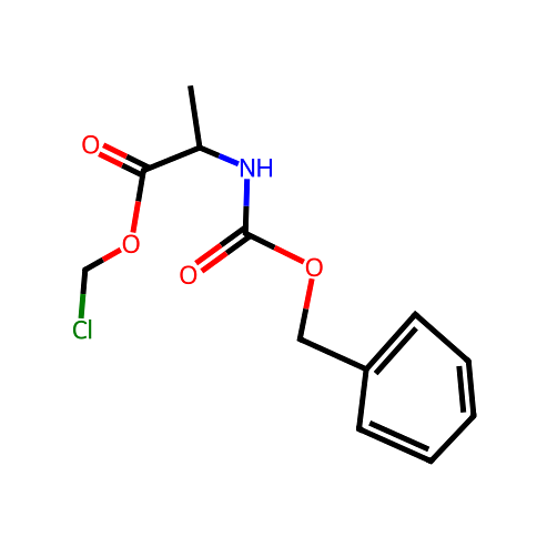 CC(NC(=O)OCc1ccccc1)C(=O)OCCl